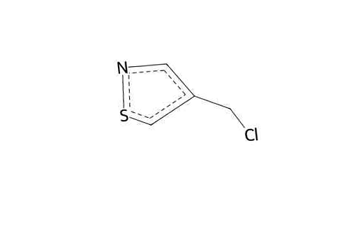 ClCc1cnsc1